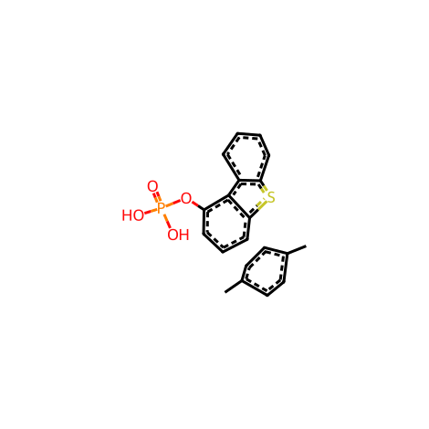 Cc1ccc(C)cc1.O=P(O)(O)Oc1cccc2sc3ccccc3c12